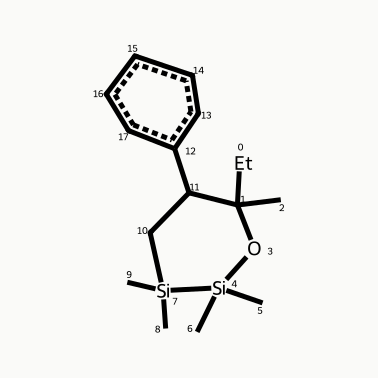 CCC1(C)O[Si](C)(C)[Si](C)(C)CC1c1ccccc1